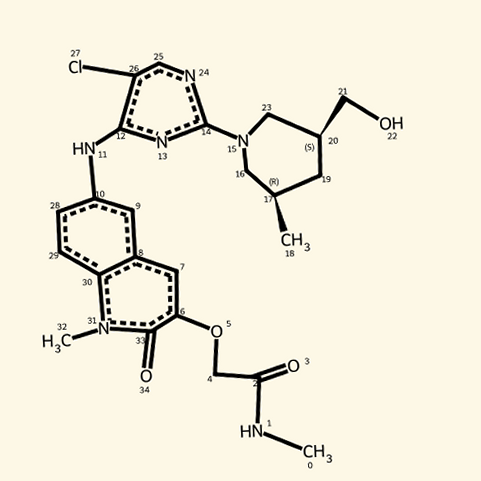 CNC(=O)COc1cc2cc(Nc3nc(N4C[C@H](C)C[C@H](CO)C4)ncc3Cl)ccc2n(C)c1=O